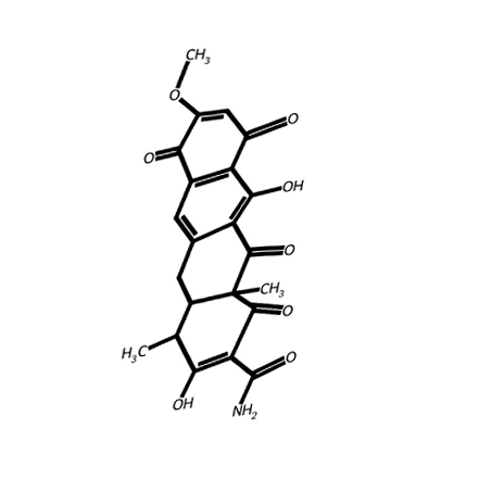 COC1=CC(=O)c2c(cc3c(c2O)C(=O)C2(C)C(=O)C(C(N)=O)=C(O)C(C)C2C3)C1=O